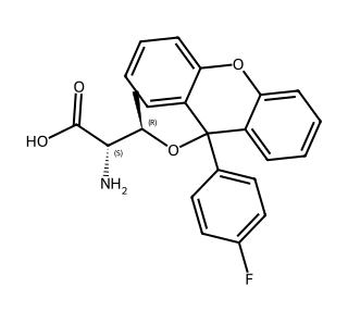 C[C@@H](OC1(c2ccc(F)cc2)c2ccccc2Oc2ccccc21)[C@H](N)C(=O)O